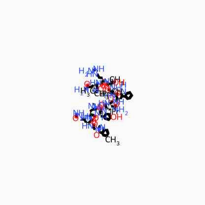 Cc1ccc2ncn(CC(=O)N[C@@H](CCCNC(N)=O)C(=O)N[C@@H](Cc3c[nH]cn3)C(=O)N[C@@H](Cc3ccc(O)cc3)C(=O)N[C@@H](CC(C)C)C(=O)N[C@@H](CC(N)=O)C(=O)N[C@@H](Cc3c[nH]c4ccccc34)C(=O)N[C@@](C)(C(=O)N[C@H](C(=O)N[C@@H](CCCNC(=N)N)C(=O)N[C@@H](CCC(N)=O)C(=O)N(C)C)[C@@H](C)O)C(C)C)c(=O)c2c1